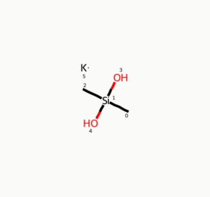 C[Si](C)(O)O.[K]